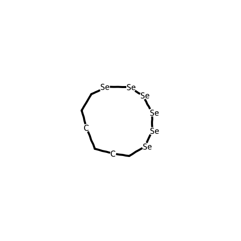 C1CCC[Se][Se][Se][Se][Se][Se]CC1